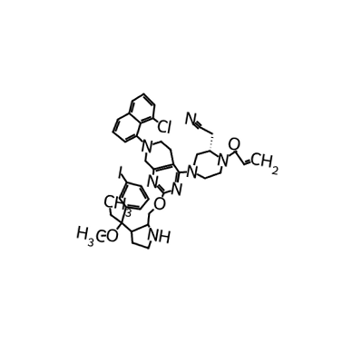 C=CC(=O)N1CCN(c2nc(OCC3NCCC3C(CC)(OC)c3cccc(I)c3)nc3c2CCN(c2cccc4cccc(Cl)c24)C3)C[C@@H]1CC#N